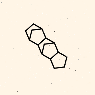 [CH]1CCC2C1C1CC2C2C3CCC(C3)C12